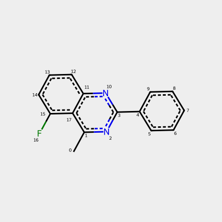 Cc1nc(-c2ccccc2)nc2cccc(F)c12